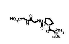 CC[C@H](C)[C@H](N)C(=O)N1CCC[C@H]1C(=O)NCC(=O)NCC(=O)O